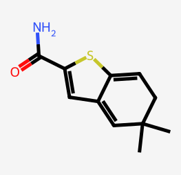 CC1(C)C=c2cc(C(N)=O)sc2=CC1